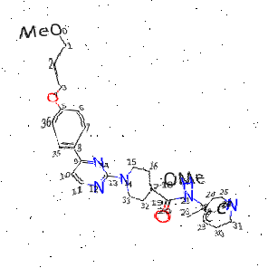 COCCCOc1ccc(-c2ccnc(N3CCC(OC)(C(=O)NC4(C)CCN5CCC4CC5)CC3)n2)cc1